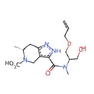 C=CCOCC(CO)N(C)C(=O)c1[nH]nc2c1CN(C(=O)O)[C@H](C)C2